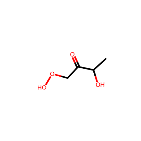 CC(O)C(=O)COO